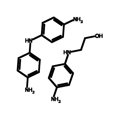 Nc1ccc(NCCO)cc1.Nc1ccc(Nc2ccc(N)cc2)cc1